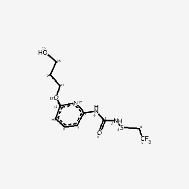 O=C(NSCC(F)(F)F)Nc1cccc(OCCCO)n1